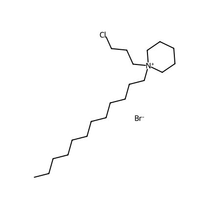 CCCCCCCCCCCC[N+]1(CCCCl)CCCCC1.[Br-]